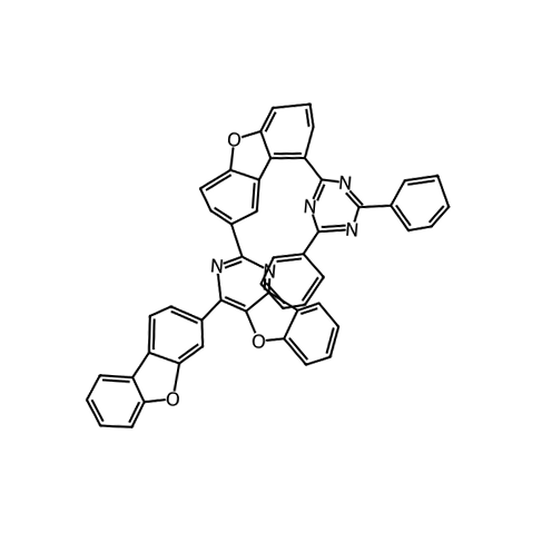 c1ccc(-c2nc(-c3ccccc3)nc(-c3cccc4oc5ccc(-c6nc(-c7ccc8c(c7)oc7ccccc78)c7oc8ccccc8c7n6)cc5c34)n2)cc1